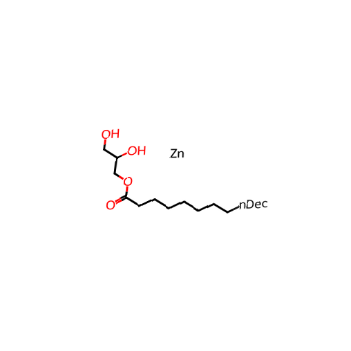 CCCCCCCCCCCCCCCCCC(=O)OCC(O)CO.[Zn]